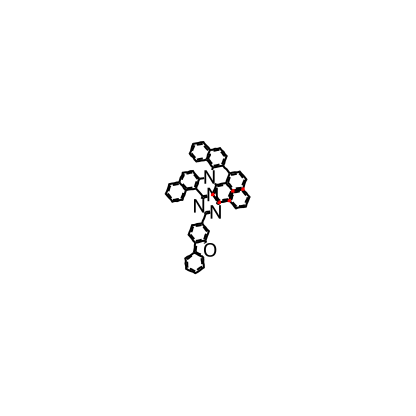 c1ccc(-c2nc(-c3ccc4c(c3)oc3ccccc34)nc(-c3c(N4c5c(ccc6ccccc56)-c5cccc6cccc4c56)ccc4ccccc34)n2)cc1